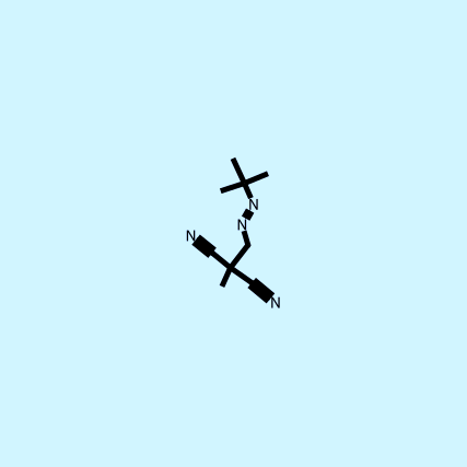 CC(C#N)(C#N)CN=NC(C)(C)C